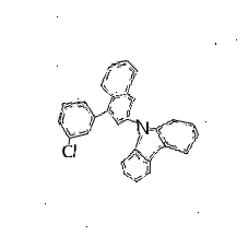 Clc1cccc(-c2cc(-n3c4ccccc4c4ccccc43)cc3ccccc23)c1